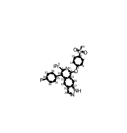 CC(C)c1nc(Oc2ccc(S(C)(=O)=O)cc2)c2cc3[nH]ncc3cc2c1-c1ccc(F)cc1